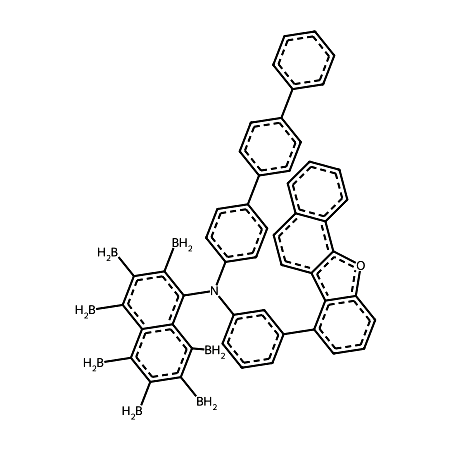 Bc1c(B)c(B)c2c(N(c3ccc(-c4ccc(-c5ccccc5)cc4)cc3)c3cccc(-c4cccc5oc6c7ccccc7ccc6c45)c3)c(B)c(B)c(B)c2c1B